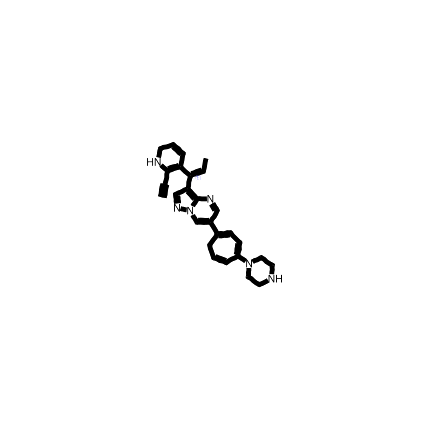 C#CC1=C(/C(=C\C)c2cnn3cc(C4=CC=C(N5CCNCC5)C=CC4)cnc23)C=CCN1